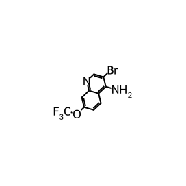 Nc1c(Br)cnc2cc(OC(F)(F)F)ccc12